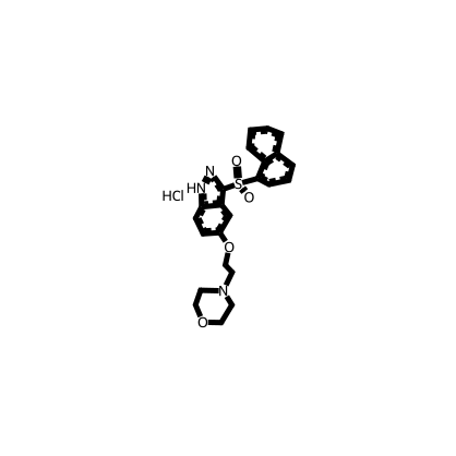 Cl.O=S(=O)(c1cccc2ccccc12)c1n[nH]c2ccc(OCCN3CCOCC3)cc12